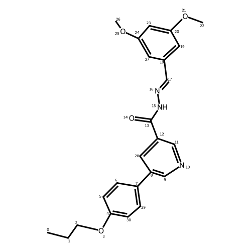 CCCOc1ccc(-c2cncc(C(=O)NN=Cc3cc(OC)cc(OC)c3)c2)cc1